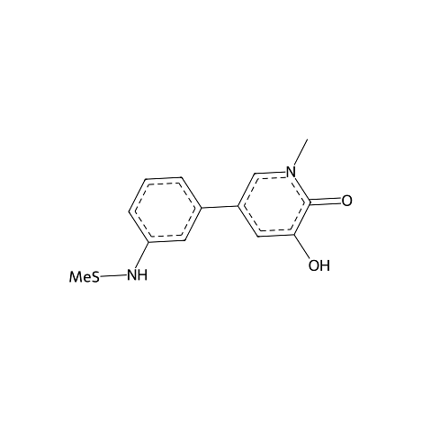 CSNc1cccc(-c2cc(O)c(=O)n(C)c2)c1